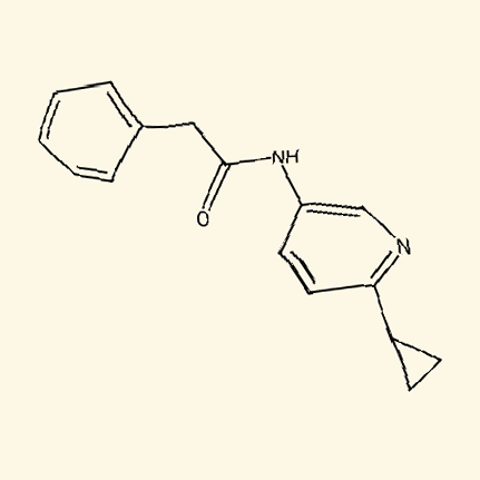 O=C(Cc1ccccc1)Nc1ccc(C2CC2)nc1